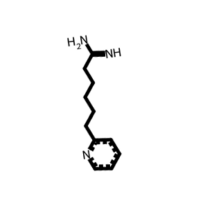 N=C(N)CCCCCc1ccccn1